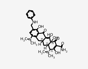 CN(C)c1cc(CNc2ccccc2)c(O)c2c1C[C@H]1C[C@H]3[C@H](N(C)C)C(O)=C(C(N)=O)C(=O)[C@@]3(O)C(O)=C1C2=O